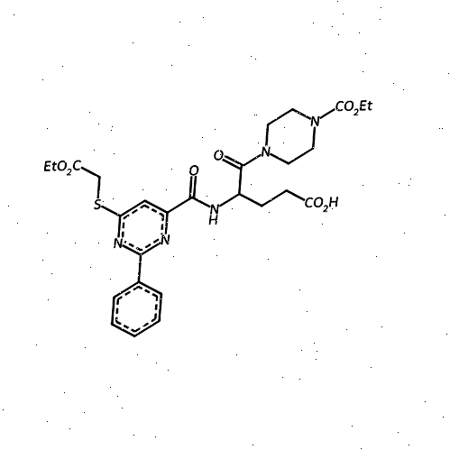 CCOC(=O)CSc1cc(C(=O)NC(CCC(=O)O)C(=O)N2CCN(C(=O)OCC)CC2)nc(-c2ccccc2)n1